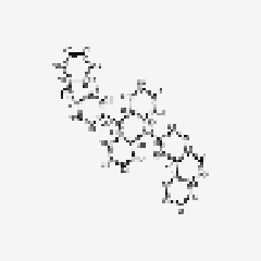 c1ccc2c(c1)ccc1ccc(-c3c4ccccc4c(-c4ccc5oc6ccccc6c5c4)c4ccccc34)cc12